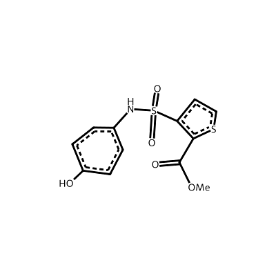 COC(=O)c1sccc1S(=O)(=O)Nc1ccc(O)cc1